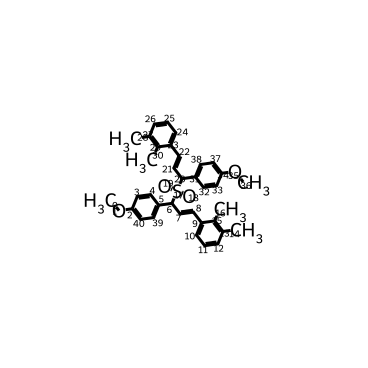 COc1ccc(C(C=Cc2cccc(C)c2C)S(=O)(=O)C(C=Cc2cccc(C)c2C)c2ccc(OC)cc2)cc1